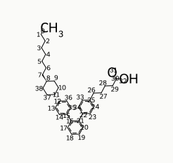 CCCCCCCC[C@H]1CC[C@H](c2ccc(-c3ccccc3-c3ccc(CCCCC(=O)O)cc3)cc2)CC1